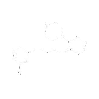 Nc1cccc(OCCOc2nccnc2N2CCNCC2)c1